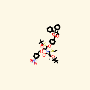 CCS[C@@H]1[C@@H]([C@@H](C)O[Si](C)(C)C(C)(C)C)C(=O)N1C(C(=O)OCc1ccc([N+](=O)[O-])cc1)=C(Oc1ccc(C(=O)O[Si](c2ccccc2)(c2ccccc2)C(C)(C)C)cc1)SC(=O)C(C)(C)C